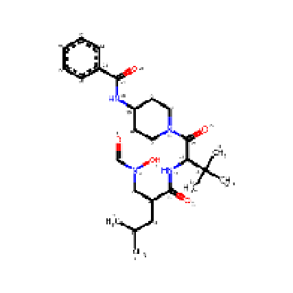 CC(C)CC(CN(O)C=O)C(=O)NC(C(=O)N1CCC(NC(=O)c2ccccc2)CC1)C(C)(C)C